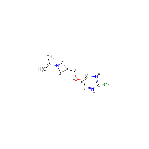 CC(C)N1CC(COc2cnc(Cl)nc2)C1